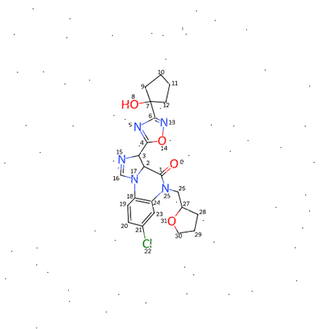 O=C1C2C(c3nc(C4(O)CCCC4)no3)N=CN2c2ccc(Cl)cc2N1CC1CCCO1